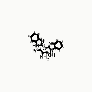 CC(C)CC(N)CO.c1ccc2[nH]c(Oc3nc4ccccc4[nH]3)nc2c1